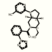 N#Cc1ccnc(N2CC[C@@H]3C[C@@H](CO)N(C(=O)c4ccccc4-n4nccn4)C[C@@H]32)c1